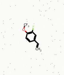 C=[C]c1ccc(OC(F)(F)F)c(F)c1